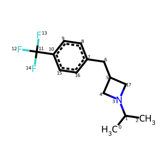 CC(C)N1CC(Cc2ccc(C(F)(F)F)cc2)C1